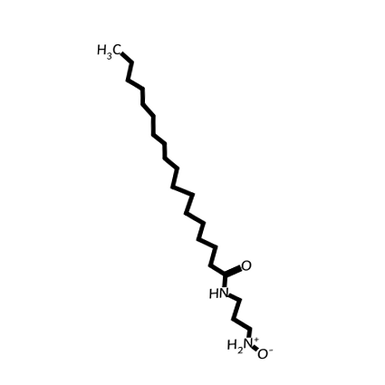 CCCCCCCCCCCCCCCCCC(=O)NCCC[NH2+][O-]